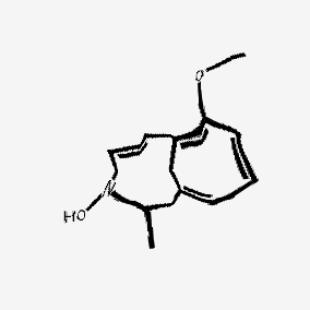 COc1cccc2c1C=CN(O)C2C